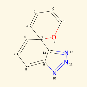 C1=COC2(C=C1)C=CC=C1N=NN=C12